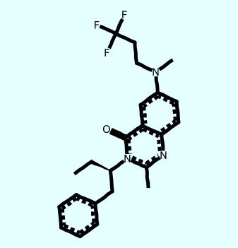 CC[C@H](Cc1ccccc1)n1c(C)nc2ccc(N(C)CCC(F)(F)F)cc2c1=O